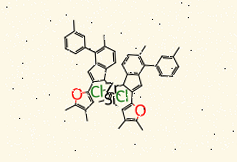 Cc1cccc(-c2c(C)ccc3c2C=C(c2cc(C)c(C)o2)[CH]3[Zr]([Cl])([Cl])([CH]2C(c3cc(C)c(C)o3)=Cc3c2ccc(C)c3-c2cccc(C)c2)=[Si](C)C)c1